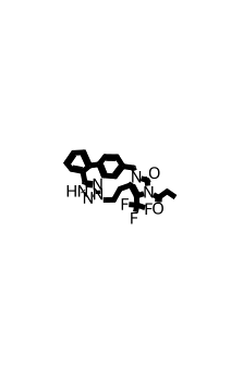 CCCc1c(C(F)(F)F)n(C(=O)CC)c(=O)n1Cc1ccc(-c2ccccc2-c2nnn[nH]2)cc1